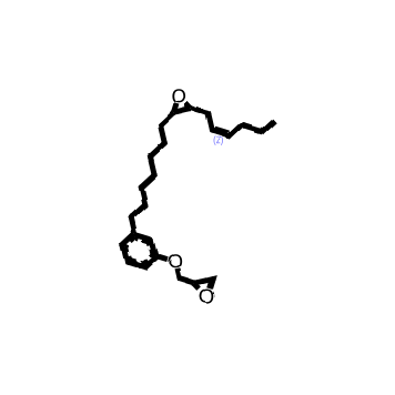 CCC/C=C\CC1OC1CCCCCCCc1cccc(OCC2CO2)c1